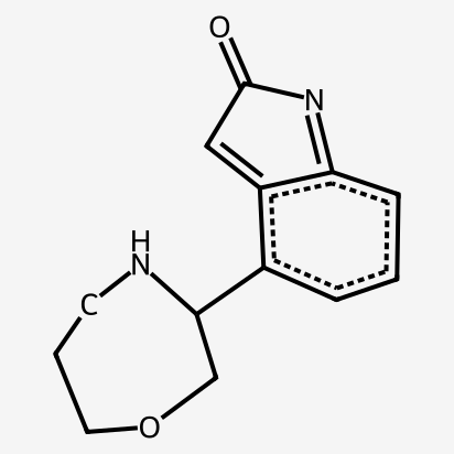 O=C1C=c2c(C3COCCCN3)cccc2=N1